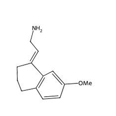 COc1ccc2c(c1)C(=CCN)CCC2